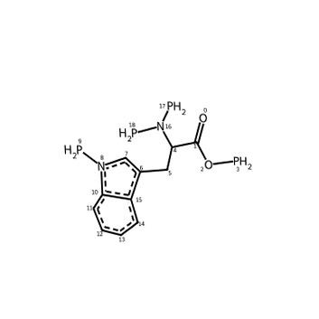 O=C(OP)C(Cc1cn(P)c2ccccc12)N(P)P